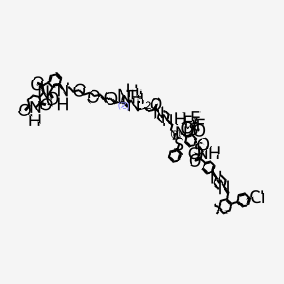 CC1(C)CCC(c2ccc(Cl)cc2)=C(CN2CCN(c3ccc(C(=O)NS(=O)(=O)c4ccc(N[C@H](CCN5CCN(C(=O)CCCN/C=C(\N)COCCOCCOCCNc6cccc7c6C(=O)N(C6CCC(=O)NC6=O)C7=O)CC5)CSc5ccccc5)c(S(=O)(=O)C(F)(F)F)c4)cc3)CC2)C1